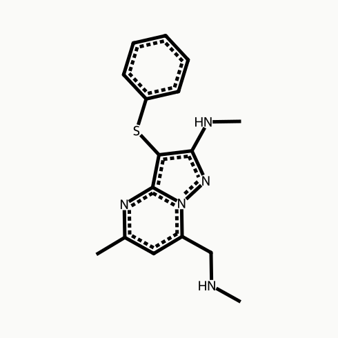 CNCc1cc(C)nc2c(Sc3ccccc3)c(NC)nn12